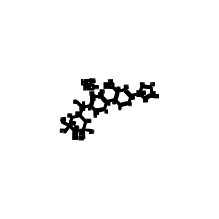 CN(c1ncc(-c2ccc(-n3ccnc3)cc2O)nn1)C1CC(C)(C)NC(C)(C)C1.Cl.Cl